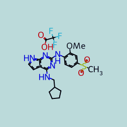 COc1cc(S(C)(=O)=O)ccc1Nc1nc(NCC2CCCC2)c2cc[nH]c2n1.O=C(O)C(F)(F)F